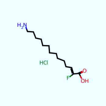 Cl.NCCCCCCCCCCCC=C(F)C(=O)O